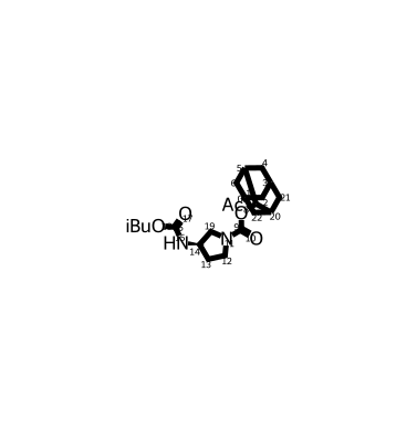 CC(=O)C12CC3CC(C1)C(OC(=O)N1CC[C@@H](NC(=O)OCC(C)C)C1)C(C3)C2